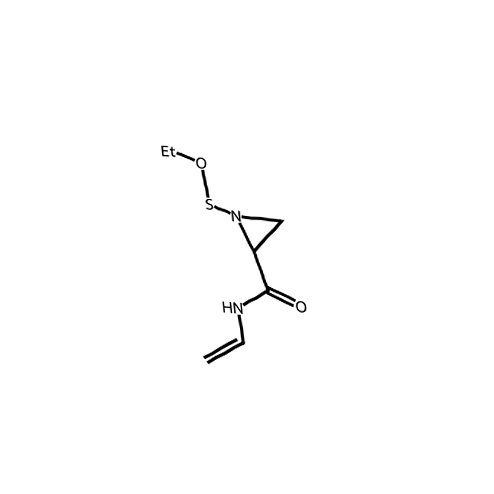 C=CNC(=O)C1CN1SOCC